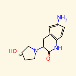 Nc1ccc2c(c1)CC(N1CC[C@H](O)C1)C(=O)N2